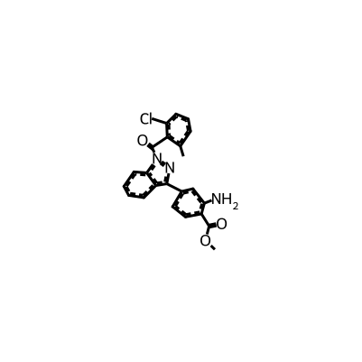 COC(=O)c1ccc(-c2nn(C(=O)c3c(C)cccc3Cl)c3ccccc23)cc1N